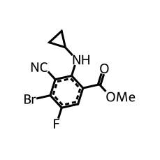 COC(=O)c1cc(F)c(Br)c(C#N)c1NC1CC1